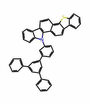 c1ccc(-c2cc(-c3ccccc3)cc(-c3cccc(-n4c5ccccc5c5ccc6c(ccc7c8ccccc8sc76)c54)c3)c2)cc1